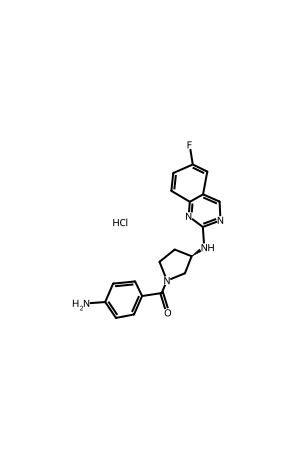 Cl.Nc1ccc(C(=O)N2CC[C@@H](Nc3ncc4cc(F)ccc4n3)C2)cc1